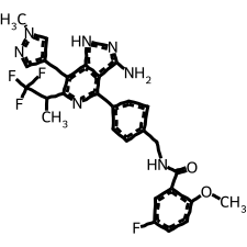 COc1ccc(F)cc1C(=O)NCc1ccc(-c2nc(C(C)C(F)(F)F)c(-c3cnn(C)c3)c3[nH]nc(N)c23)cc1